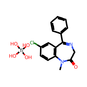 CN1C(=O)CN=C(c2ccccc2)c2cc(Cl)ccc21.[OH][Ti]([OH])([OH])[OH]